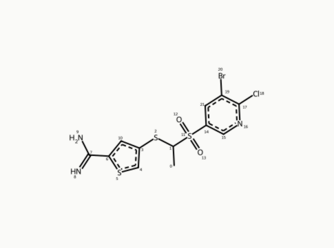 CC(Sc1csc(C(=N)N)c1)S(=O)(=O)c1cnc(Cl)c(Br)c1